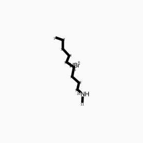 Br.CCCCCCCCCNC